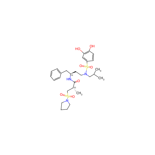 CC(C)CN(CC[C@H](Cc1ccccc1)NC(=O)[C@H](C)CS(=O)(=O)N1CCCC1)S(=O)(=O)c1ccc(O)c(O)c1